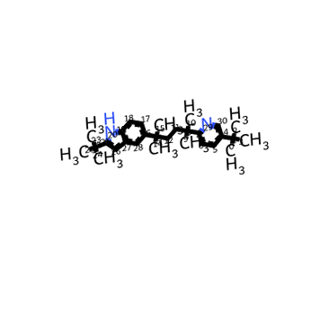 CC(C)(C)c1ccc(C(C)(C)CCC(C)(C)c2ccc3[nH]c(C(C)(C)C)cc3c2)nc1